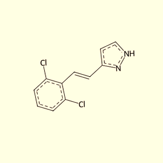 Clc1cccc(Cl)c1C=Cc1cc[nH]n1